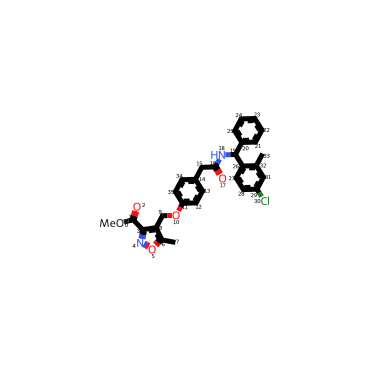 COC(=O)c1noc(C)c1COc1ccc(CC(=O)NC(c2ccccc2)c2ccc(Cl)cc2C)cc1